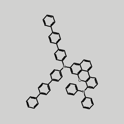 c1ccc(-c2ccc(-c3ccc(N(c4ccc(-c5ccc(-c6ccccc6)cc5)cc4)c4cc5c6c(cccc6c4)-c4cccc(N(c6ccccc6)c6ccccc6)c4O5)cc3)cc2)cc1